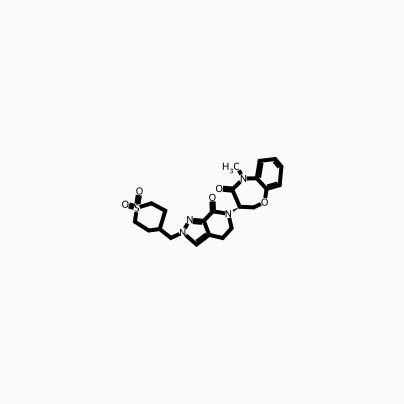 CN1C(=O)[C@@H](N2CCc3cn(CC4CCS(=O)(=O)CC4)nc3C2=O)COc2ccccc21